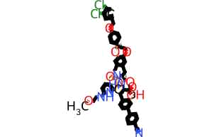 COCCNc1ccc(S(=O)(=O)N2Cc3cc4c(cc3C[C@H]2C(=O)NC(Cc2ccc(-c3ccc(C#N)cc3)cc2)C(=O)O)OC[C@H](c2ccc(OCc3ccc(Cl)c(Cl)c3)cc2)O4)c(C)n1